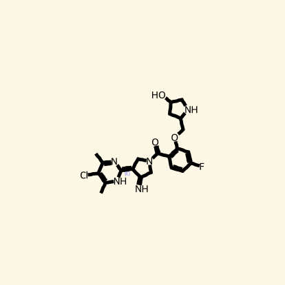 CC1=N/C(=C2\CN(C(=O)c3ccc(F)cc3OCC3CC(O)CN3)CC2=N)NC(C)=C1Cl